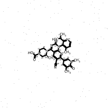 Cc1ccnc(C(C)C)c1-n1c(=O)nc(N2CCN(C(=O)O)C[C@@H]2C)c2cc(C#N)c(-c3cc(C)c(=O)n(C)c3)nc21